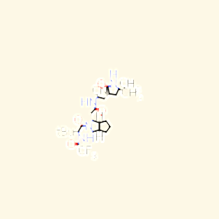 CC1(C)C[C@@H](C[C@@H](C#N)NC(=O)C[C@@H]2[C@H]3CCC[C@H]3CN2C(=O)[C@@H](NC(=O)C(F)(F)F)C(C)(C)C)C(=O)N1